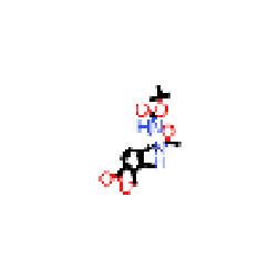 CC(=O)N[C@@H](CNC(=O)OC(C)(C)C)c1ccc2c(c1C)COC2=O